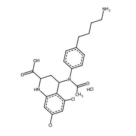 CC(=O)N(c1ccc(CCCCN)cc1)C1CC(C(=O)O)Nc2cc(Cl)cc(Cl)c21.Cl